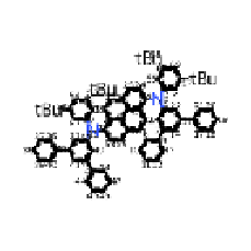 CC(C)(C)c1cc(N(c2cc(-c3ccccc3)cc(-c3ccccc3)c2)c2ccc3ccc4c(N(c5cc(-c6ccccc6)cc(-c6ccccc6)c5)c5cc(C(C)(C)C)cc(C(C)(C)C)c5)ccc5ccc2c3c54)cc(C(C)(C)C)c1